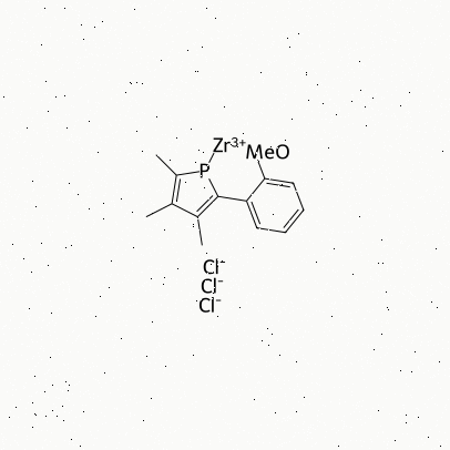 COc1ccccc1-c1c(C)c(C)c(C)[p]1[Zr+3].[Cl-].[Cl-].[Cl-]